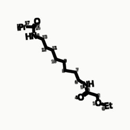 CCOCC(=O)NCCCCCCCCNC(=O)C(C)C